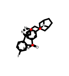 NC(=O)c1cccc(C2CC3CCC(C2)N3CCn2cc(-c3ccc(F)cc3F)nn2)c1